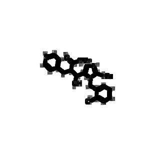 CCCCc1ncc(C(O)C(Cc2ccncc2)C(=O)OC)n1Cc1ccccc1Cl